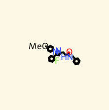 COc1ccc(-n2nc(CCC(=O)NCc3ccccc3)cc2-c2ccccc2F)cc1